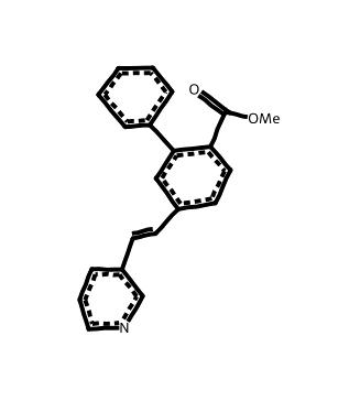 COC(=O)c1ccc(C=Cc2cccnc2)cc1-c1ccccc1